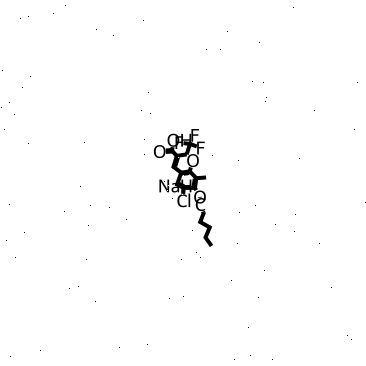 CCCCCCOc1c(Cl)cc2c(c1C)OC(C(F)(F)F)C(C(=O)O)=C2.[NaH]